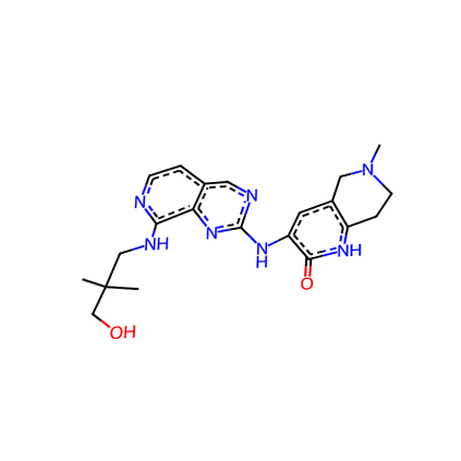 CN1CCc2[nH]c(=O)c(Nc3ncc4ccnc(NCC(C)(C)CO)c4n3)cc2C1